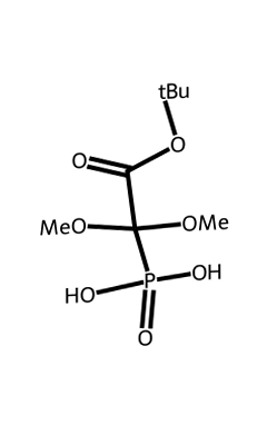 COC(OC)(C(=O)OC(C)(C)C)P(=O)(O)O